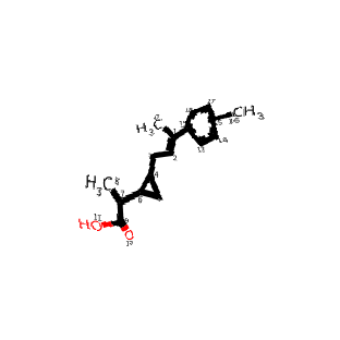 CC(=CCC1CC1C(C)C(=O)O)c1ccc(C)cc1